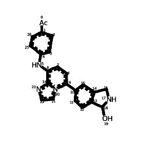 CC(=O)c1ccc(Nc2ccc(-c3ccc4c(c3)CNC4O)n3ccnc23)cc1